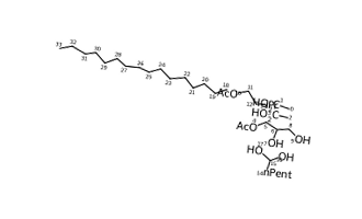 CC(=O)O.CC(=O)O.CC(=O)OCC(O)CO.CC(=O)OCCC(C)C.CCCCCC(O)O.CCCCCCCCCCCCCCCC